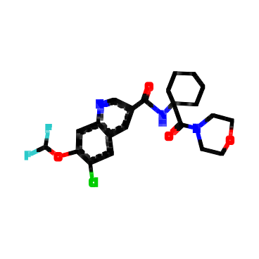 O=C(NC1(C(=O)N2CCOCC2)CCCCC1)c1cnc2cc(OC(F)F)c(Cl)cc2c1